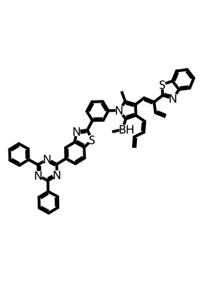 C=C/C=C\c1c(/C=C(\C=C)c2nc3ccccc3s2)c(C)n(-c2cccc(-c3nc4cc(-c5nc(-c6ccccc6)nc(-c6ccccc6)n5)ccc4s3)c2)c1BC